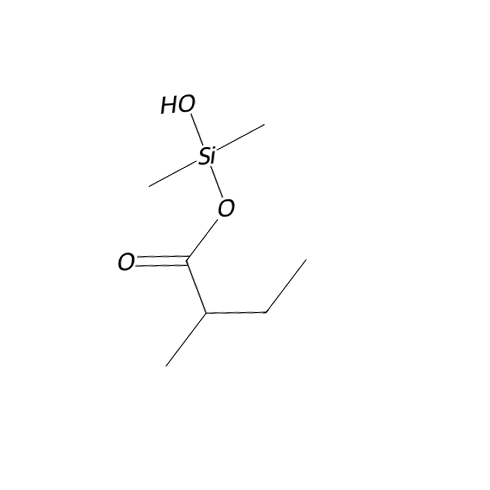 CCC(C)C(=O)O[Si](C)(C)O